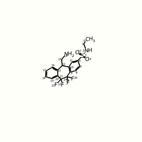 CCNS(=O)(=O)c1ccc2c(c1)C(CN)c1ccccc1C(F)(F)C2(F)F